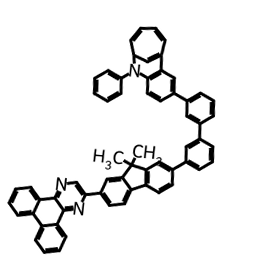 CC1(C)c2cc(-c3cccc(-c4cccc(-c5ccc6c(c5)C5=CC(C=CC=C5)N6c5ccccc5)c4)c3)ccc2-c2ccc(-c3cnc4c5ccccc5c5ccccc5c4n3)cc21